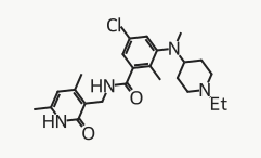 CCN1CCC(N(C)c2cc(Cl)cc(C(=O)NCc3c(C)cc(C)[nH]c3=O)c2C)CC1